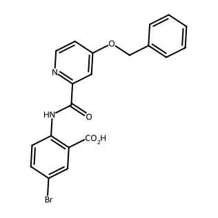 O=C(Nc1ccc(Br)cc1C(=O)O)c1cc(OCc2ccccc2)ccn1